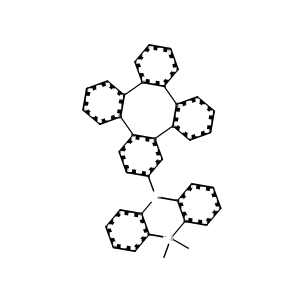 C[Si]1(C)c2ccccc2N(c2ccc3c(c2)-c2ccccc2-c2ccccc2-c2ccccc2-3)c2ccccc21